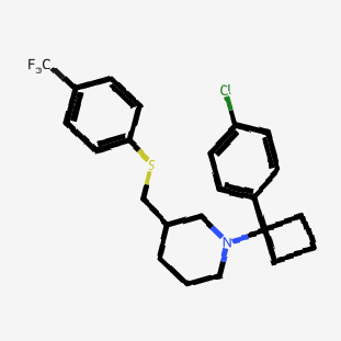 FC(F)(F)c1ccc(SCC2CCCN(C3(c4ccc(Cl)cc4)CCC3)C2)cc1